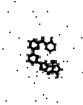 CC1CCCCC1Nc1nccc(-c2cccc(-c3cc([C@]4(O)CCN(C)C4=O)on3)n2)n1